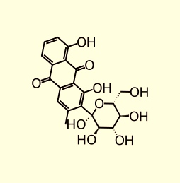 Cc1cc2c(c(O)c1[C@@]1(O)O[C@H](CO)[C@@H](O)[C@H](O)[C@H]1O)C(=O)c1c(O)cccc1C2=O